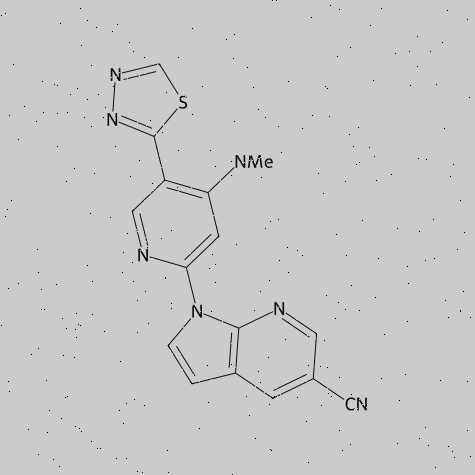 CNc1cc(-n2ccc3cc(C#N)cnc32)ncc1-c1nncs1